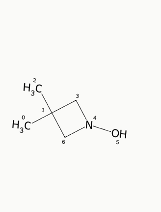 CC1(C)CN(O)C1